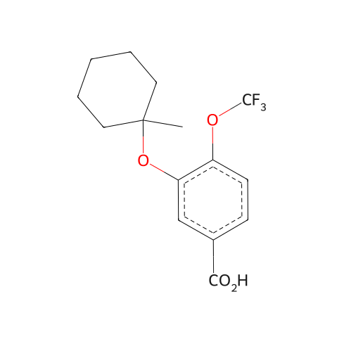 CC1(Oc2cc(C(=O)O)ccc2OC(F)(F)F)CCCCC1